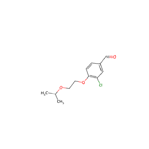 CC(C)OCCOc1ccc(C=O)cc1Cl